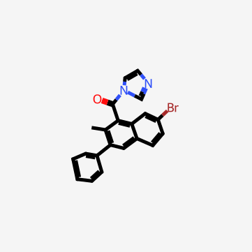 Cc1c(-c2ccccc2)cc2ccc(Br)cc2c1C(=O)n1ccnc1